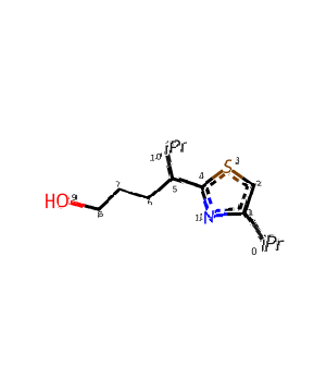 CC(C)c1csc(C(CCCO)C(C)C)n1